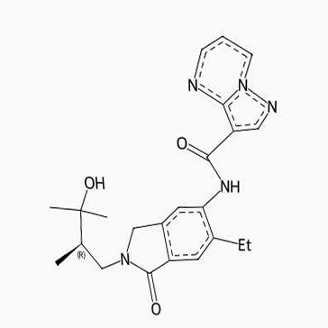 CCc1cc2c(cc1NC(=O)c1cnn3cccnc13)CN(C[C@@H](C)C(C)(C)O)C2=O